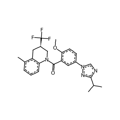 COc1ccc(-n2cnc(C(C)C)n2)cc1C(=O)N1C[C@H](C(F)(F)F)Cc2c(C)cccc21